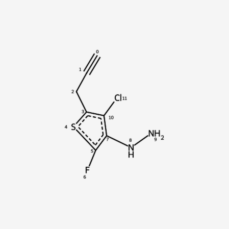 C#CCc1sc(F)c(NN)c1Cl